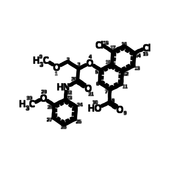 COCC(Oc1cc(C(=O)O)cc2cc(Cl)cc(Cl)c12)C(=O)Nc1ccccc1OC